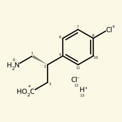 NC[C@@H](CC(=O)O)c1ccc(Cl)cc1.[Cl-].[H+]